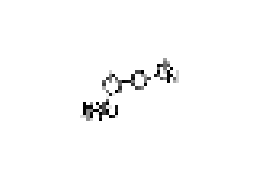 O=C(NO)c1ccnc(-c2ccc(-c3cncnc3)cc2)c1